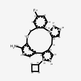 Nc1ncc2cc1OCc1cc(F)ccc1-n1nncc1Cc1cnn(C3CCC3)c1-2